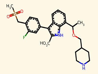 CC(OCC1CCNCC1)c1cccc2c(-c3ccc(CS(C)(=O)=O)c(F)c3)c(C(=O)O)[nH]c12